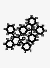 O=S1(c2ccccc2)=Nc2ccccc2C(c2ccccc2)=C1c1ccc2c(c1)C(c1ccccc1)(c1ccccc1)c1ccccc1-2